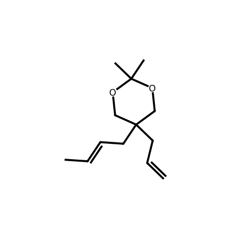 C=CCC1(CC=CC)COC(C)(C)OC1